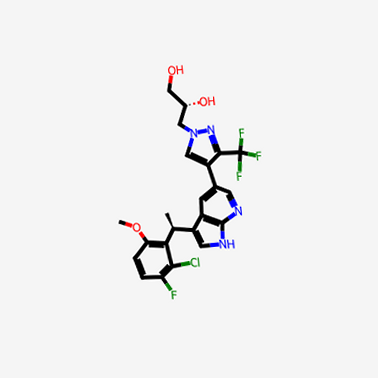 COc1ccc(F)c(Cl)c1[C@@H](C)c1c[nH]c2ncc(-c3cn(C[C@@H](O)CO)nc3C(F)(F)F)cc12